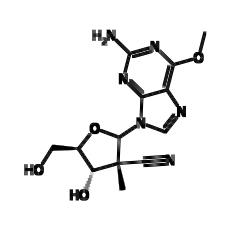 COc1nc(N)nc2c1ncn2C1O[C@H](CO)[C@@H](O)[C@@]1(C)C#N